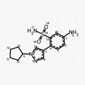 Nc1ccc(-c2cnn(C3CCCC3)c2)c(S(N)(=O)=O)c1